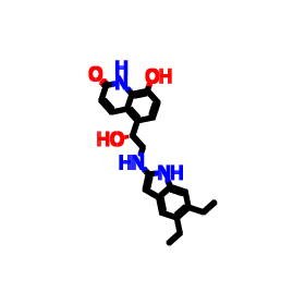 CCc1cc2cc(NC[C@H](O)c3ccc(O)c4[nH]c(=O)ccc34)[nH]c2cc1CC